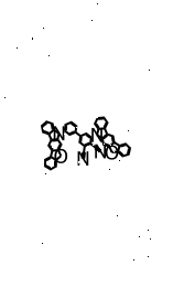 N#Cc1cc(-c2cccc(-n3c4ccccc4c4cc5c(cc43)oc3ccccc35)c2)cc(-n2c3ccccc3c3cc4c(cc32)oc2ccccc24)c1C#N